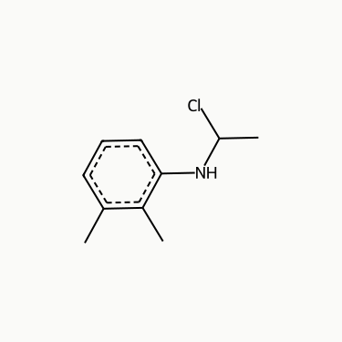 Cc1cccc(NC(C)Cl)c1C